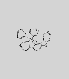 OC1(c2ccccc2-c2ccc3oc4ccccc4c3c2)c2ccccc2-c2ccccc21